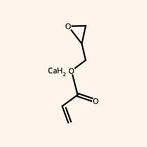 C=CC(=O)OCC1CO1.[CaH2]